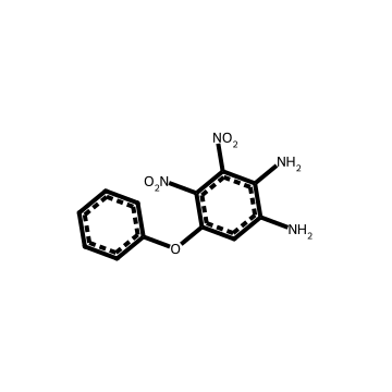 Nc1cc(Oc2ccccc2)c([N+](=O)[O-])c([N+](=O)[O-])c1N